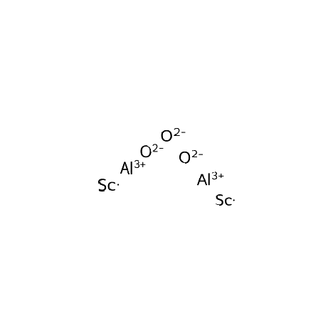 [Al+3].[Al+3].[O-2].[O-2].[O-2].[Sc].[Sc]